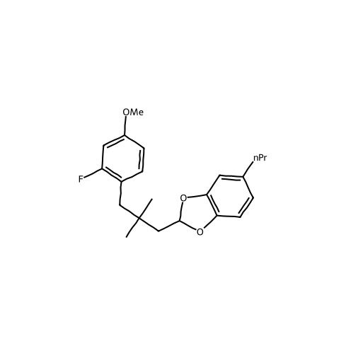 CCCc1ccc2c(c1)OC(CC(C)(C)Cc1ccc(OC)cc1F)O2